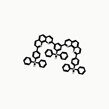 O=P(c1ccccc1)(c1ccccc1)c1ccc(-c2ccc3ccc4ccc(-c5cc(-c6ccc7ccc8ccc(-c9ccc(P(=O)(c%10ccccc%10)c%10ccccc%10)cc9)nc8c7n6)cc(P(=O)(c6ccccc6)c6ccccc6)c5)nc4c3n2)cc1